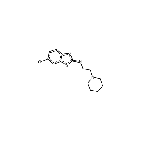 Clc1ccc2sc(=NCCN3CCCCC3)sc2c1